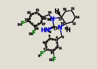 N=C1N(Cc2ccc(F)c(F)c2)[C@@H]2CCCC[C@H]2N1Cc1ccc(F)c(F)c1